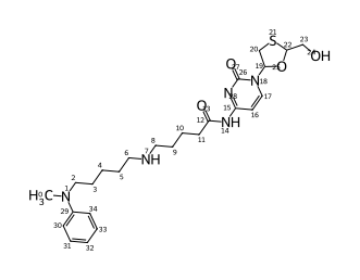 CN(CCCCCNCCCCC(=O)Nc1ccn(C2CSC(CO)O2)c(=O)n1)c1ccccc1